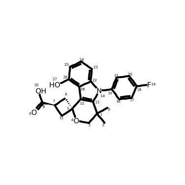 CC1(C)CO[C@]2(C[C@H](C(=O)O)C2)c2c1n(-c1ccc(F)cc1)c1cccc(O)c12